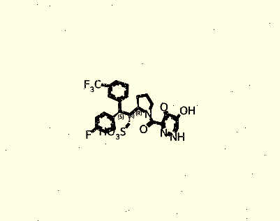 O=C(c1n[nH]cc(O)c1=O)N1CCC[C@@H]1[C@H](CS(=O)(=O)O)[C@@H](c1ccc(F)cc1)c1cccc(C(F)(F)F)c1